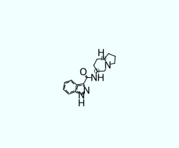 O=C(N[C@H]1CC[C@@H]2CCCN2C1)c1n[nH]c2ccccc12